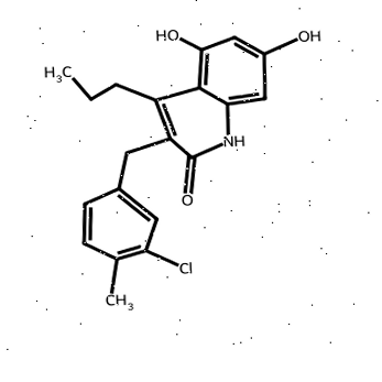 CCCc1c(Cc2ccc(C)c(Cl)c2)c(=O)[nH]c2cc(O)cc(O)c12